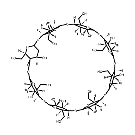 OC[C@H]1OC2O[C@H]3[C@H](O)[C@@H](O)C(O[C@H]4[C@H](O)[C@@H](O)C(O[C@H]5[C@H](O)[C@@H](O)C(O[C@H]6[C@H](O)[C@@H](O)C(O[C@H]7[C@H](O)[C@@H](O)C(O[C@H]8[C@H](O)[C@@H](O)C(O[C@H]9[C@H](O)CC(O[C@H]1[C@H](O)[C@H]2O)O[C@@H]9CO)O[C@@H]8CO)O[C@@H]7CO)O[C@@H]6CO)O[C@@H]5CO)O[C@@H]4CO)O[C@@H]3CO